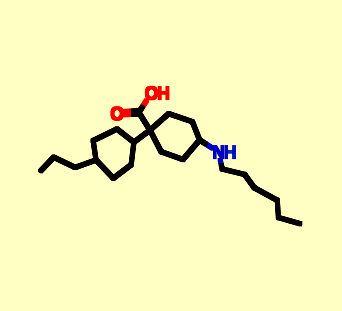 CCCCCCNC1CCC(C(=O)O)(C2CCC(CCC)CC2)CC1